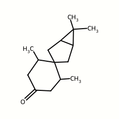 CC1CC(=O)CC(C)C12CC1C(C2)C1(C)C